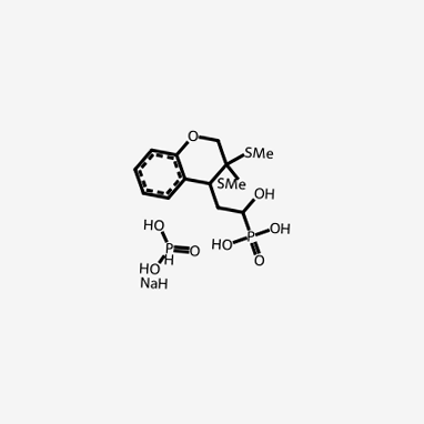 CSC1(SC)COc2ccccc2C1CC(O)P(=O)(O)O.O=[PH](O)O.[NaH]